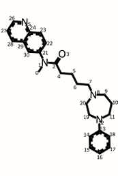 CN(C(=O)CCCCN1CCCN(c2ccccc2)CC1)c1ccc2ncccc2c1